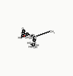 CCCCCCCCCCCCCCNC(=O)C(OC(=O)NCc1ccc(-c2c3ccc(=O)cc-3oc3cc(O)ccc23)c(C(=O)O)c1)c1ccc(O[C@@H]2OC(CO)[C@H](O)[C@H](O)C2O)cc1